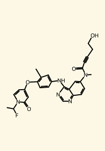 Cc1cc(Nc2ncnc3ccc(N(C)C(=O)C#CCCO)cc23)ccc1Oc1ccn(C(C)F)c(=O)c1